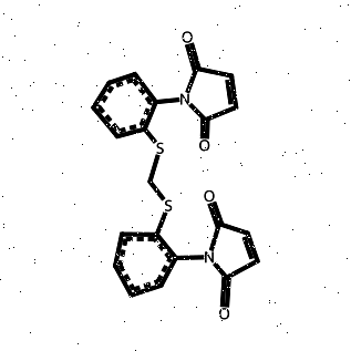 O=C1C=CC(=O)N1c1ccccc1SCSc1ccccc1N1C(=O)C=CC1=O